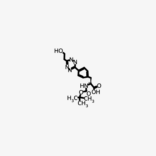 CC(C)(C)OC(=O)N[C@@H](Cc1ccc(-c2nnc(CCO)nn2)cc1)C(=O)O